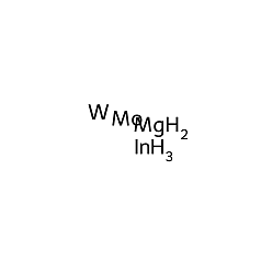 [InH3].[MgH2].[Mo].[W]